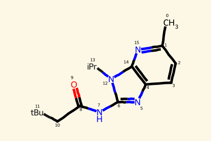 Cc1ccc2nc(NC(=O)CC(C)(C)C)n(C(C)C)c2n1